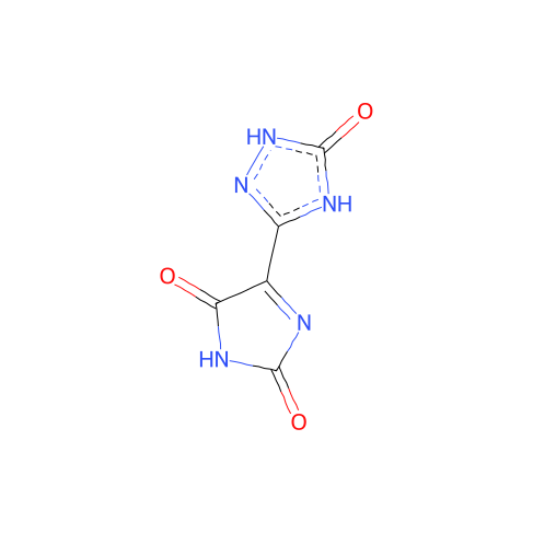 O=C1N=C(c2n[nH]c(=O)[nH]2)C(=O)N1